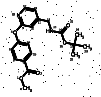 COC(=O)c1ccc(Oc2cc(CNC(=O)OC(C)(C)C)ccn2)cc1